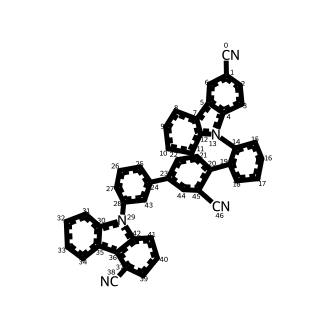 N#Cc1ccc2c(c1)c1ccccc1n2-c1ccccc1-c1ccc(-c2cccc(-n3c4ccccc4c4c(C#N)cccc43)c2)cc1C#N